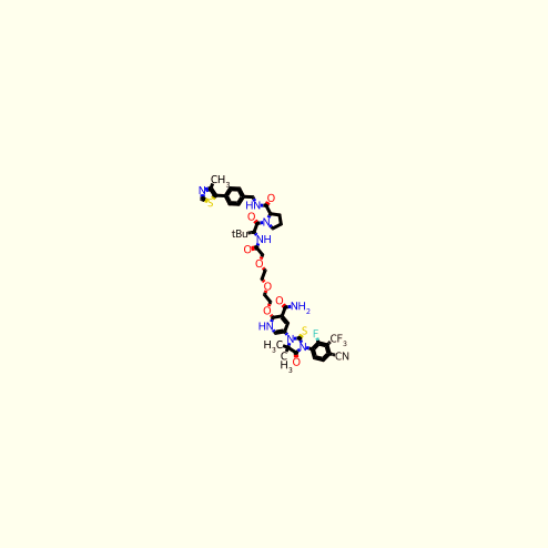 Cc1ncsc1-c1ccc(CNC(=O)C2CCCN2C(=O)C(NC(=O)COCCOCCOC2NC=C(N3C(=S)N(c4ccc(C#N)c(C(F)(F)F)c4F)C(=O)C3(C)C)C=C2C(N)=O)C(C)(C)C)cc1